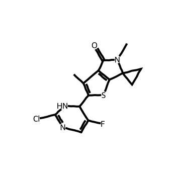 Cc1c(C2NC(Cl)=NC=C2F)sc2c1C(=O)N(C)C21CC1